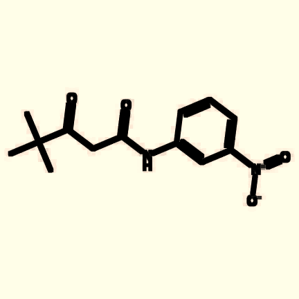 CC(C)(C)C(=O)CC(=O)Nc1cccc([N+](=O)[O-])c1